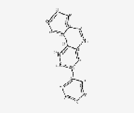 c1ccc(-c2cc3ncc4ccccc4c3nn2)cc1